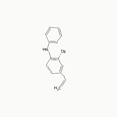 C=Cc1ccc(Nc2ccccc2)c(C#N)c1